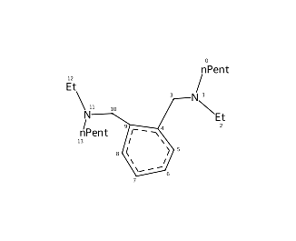 CCCCCN(CC)Cc1ccccc1CN(CC)CCCCC